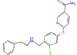 NC(=O)c1ccc(Oc2ccc(CNCCc3ccccc3)c(Cl)c2)nc1